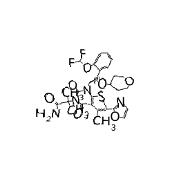 Cc1c(-c2ncco2)sc2c1c(=O)n(C(C)(C)C(N)=O)c(=O)n2C[C@H](OC1CCOCC1)c1ccccc1OC(F)F